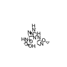 CNc1cc(Nc2cccnc2OC2CC2)nc2c(C(=O)N[C@@H]3CC[C@H]3O)cnn12